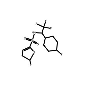 O=S(=O)(NC(C1CCC(F)CC1)C(F)(F)F)C1=CCC(F)S1